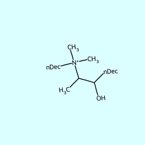 CCCCCCCCCCC(O)C(C)[N+](C)(C)CCCCCCCCCC